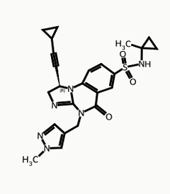 Cn1cc(CN2C(=O)c3cc(S(=O)(=O)NC4(C)CC4)ccc3N3C2=NC[C@H]3C#CC2CC2)cn1